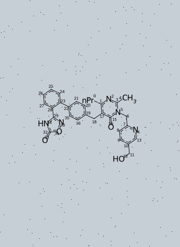 CCCc1nc(C)n(Cc2ccc(CO)cn2)c(=O)c1Cc1ccc(-c2ccccc2-c2noc(=O)[nH]2)cc1